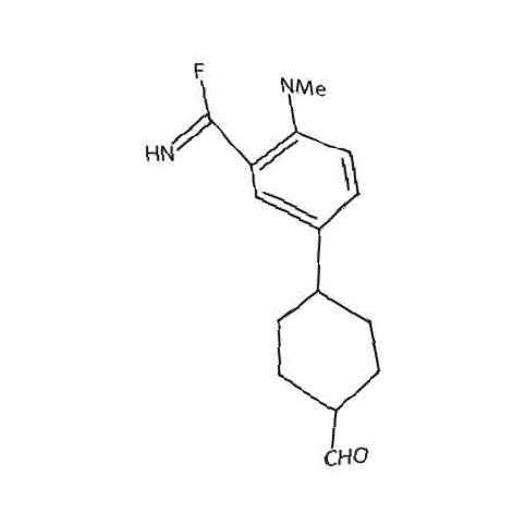 CNc1ccc(C2CCC(C=O)CC2)cc1C(=N)F